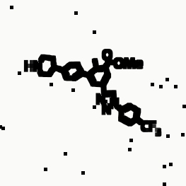 COC(=O)c1cc(-c2cn(-c3ccc(C(F)(F)F)cc3)nn2)cc(-c2ccc(C3CCNCC3)cc2)c1C